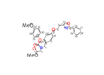 COC(=O)CN(Cc1ccc(OCCc2coc(-c3ccccc3)n2)cc1)C(=O)Oc1ccc(OC)cc1